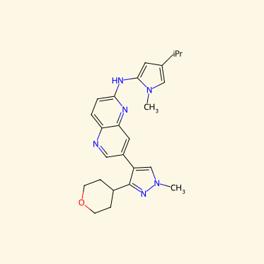 CC(C)c1cc(Nc2ccc3ncc(-c4cn(C)nc4C4CCOCC4)cc3n2)n(C)c1